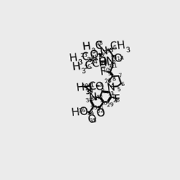 COc1c(N2CCCC(=C(F)CNC(=O)[C@H](C)N(C)C(=O)OC(C)(C)C)C2)c(F)cc2c(=O)c(C(=O)O)cn(C3CC3)c12